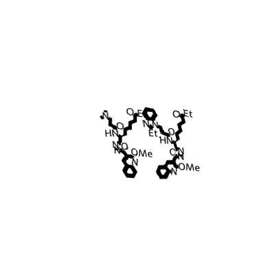 CCC(=O)CCCCC[C@H](NC(=O)CCN(C)C)c1nnc(-c2cc3ccccc3nc2OC)o1.CCC(=O)CCCCC[C@H](NC(=O)CCn1c(CC)nc2ccccc21)c1nnc(-c2cc3ccccc3nc2OC)o1